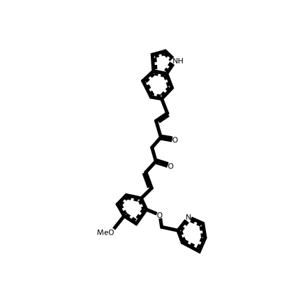 COc1ccc(/C=C/C(=O)CC(=O)/C=C/c2ccc3cc[nH]c3c2)c(OCc2ccccn2)c1